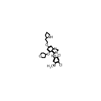 COc1cc(Nc2ncnc3cc(OCCC4CCCN4)cc(OC4CCOCC4)c23)c(Cl)cc1Cl